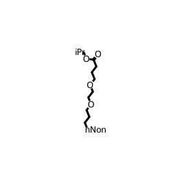 CCCCCCCCCCCCOCCOCCCC(=O)OC(C)C